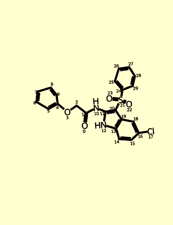 O=C(COc1ccccc1)Nc1[nH]c2ccc(Cl)cc2c1S(=O)(=O)c1ccccc1